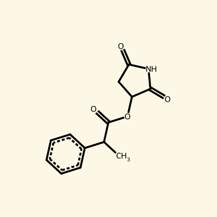 CC(C(=O)OC1CC(=O)NC1=O)c1ccccc1